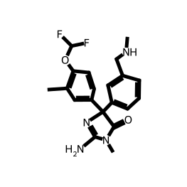 CNCc1cccc(C2(c3ccc(OC(F)F)c(C)c3)N=C(N)N(C)C2=O)c1